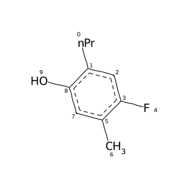 CCCc1cc(F)c(C)cc1O